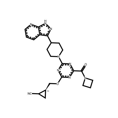 N#CC1C[C@@H]1COc1nc(C(=O)N2CCC2)nc(N2CCC(c3n[nH]c4ncccc34)CC2)n1